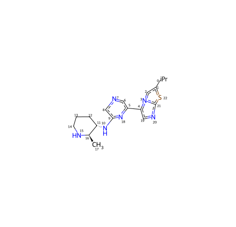 CC(C)c1cn2c(-c3cncc(N[C@H]4CCCN[C@@H]4C)n3)cnc2s1